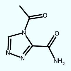 CC(=O)n1cnnc1C(N)=O